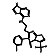 O=c1c(-c2cccc(F)c2)c(CCNc2ncnc3[nH]cnc23)nc2scc(C(F)(F)F)n12